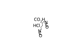 Cl.O=C=NCCCCC(N=C=O)C(=O)O